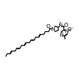 CCC=CCC=CCC=CCC=CCC=CCCCC(=O)N1CCC(N(C)C(=O)c2cnc(C)c[n+]2[O-])C1